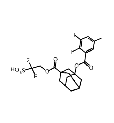 O=C(OC12CC3CC(C1)CC(C(=O)OCC(F)(F)S(=O)(=O)O)(C3)C2)c1cc(I)cc(I)c1I